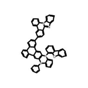 c1ccc(N2c3ccccc3N(c3cccc4c3oc3ccccc34)c3cc4c5cc(-c6ccc7c(c6)c6ccccc6n6c8ccccc8nc76)ccc5c5ccccc5c4cc32)cc1